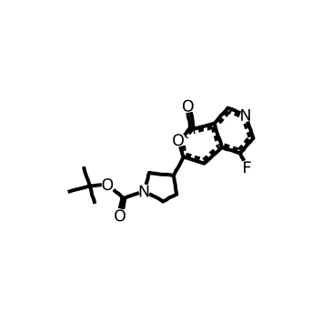 CC(C)(C)OC(=O)N1CCC(c2cc3c(F)cncc3c(=O)o2)C1